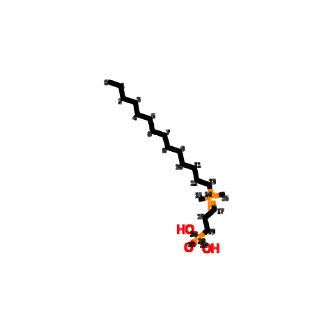 CCCCCCCCCCCCCC[PH](C)(C)CCCP(=O)(O)O